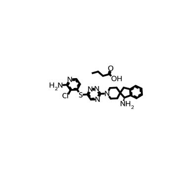 CCCC(=O)O.Nc1nccc(Sc2cnc(N3CCC4(CC3)Cc3ccccc3[C@H]4N)nn2)c1Cl